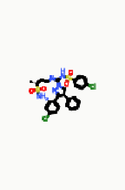 C[C@H](CC/N=C(/NS(=O)(=O)c1ccc(Cl)cc1)N1C[C@@H](c2ccccc2)C(c2ccc(Cl)cc2)=N1)S(N)(=O)=O